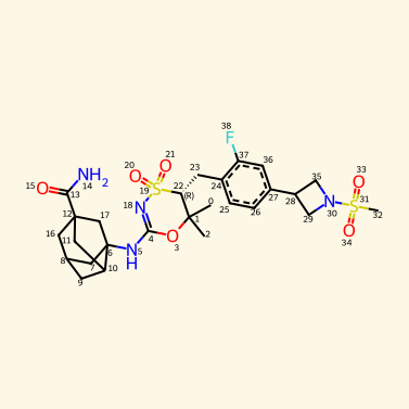 CC1(C)OC(NC23CC4CC2CC(C(N)=O)(C4)C3)=NS(=O)(=O)[C@@H]1Cc1ccc(C2CN(S(C)(=O)=O)C2)cc1F